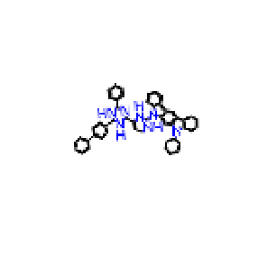 C1=C(C2=NC(c3ccccc3)NC(c3ccc(-c4ccccc4)cc3)N2)NC(n2c3ccccc3c3cc4c5ccccc5n(-c5ccccc5)c4cc32)NC1